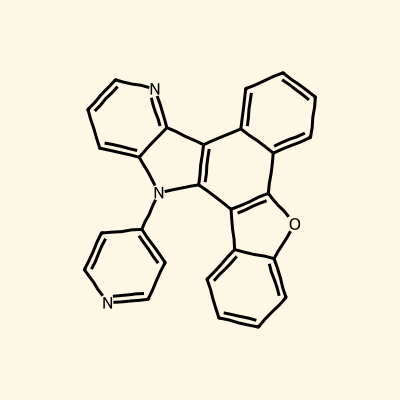 c1ccc2c(c1)oc1c3ccccc3c3c4ncccc4n(-c4ccncc4)c3c21